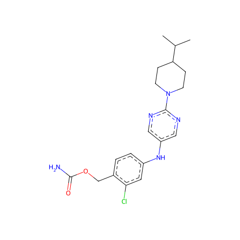 CC(C)C1CCN(c2ncc(Nc3ccc(COC(N)=O)c(Cl)c3)cn2)CC1